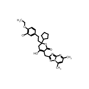 CCOc1ccc(CCC2(C3CCCC3)CC(O)=C(Cc3nc4nc(C)cc(C)n4n3)C(=O)O2)cc1Cl